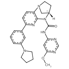 COc1cc(NC(=O)N2c3nc(-c4cccc(N5CCCC5)c4)ccc3N3CC[C@H]2C3)ncn1